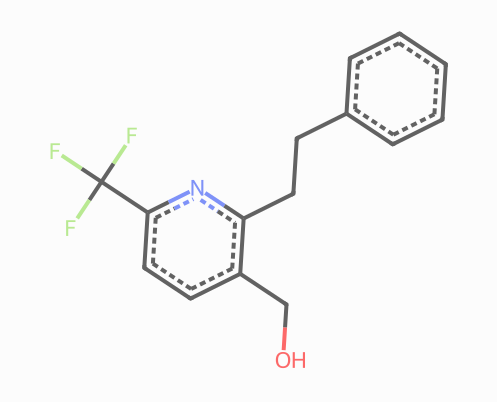 OCc1ccc(C(F)(F)F)nc1CCc1ccccc1